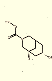 CC(C)(C)OC(=O)N1CC2C[C@H](C=O)C[C@@H](C2)C1